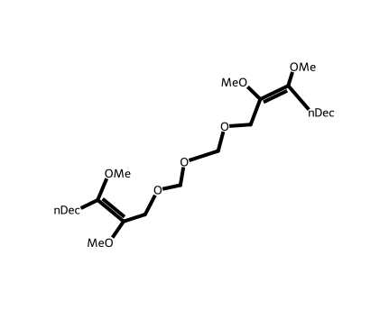 CCCCCCCCCCC(OC)=C(COCOCOCC(OC)=C(CCCCCCCCCC)OC)OC